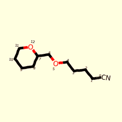 N#CCCCCOCC1CCCCO1